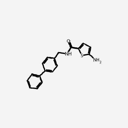 Nc1ccc(C(=O)NCc2ccc(-c3ccccc3)cc2)s1